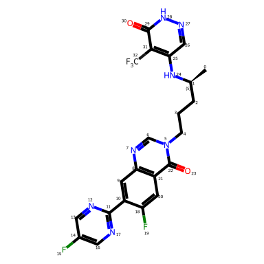 C[C@@H](CCCn1cnc2cc(-c3ncc(F)cn3)c(F)cc2c1=O)Nc1cn[nH]c(=O)c1C(F)(F)F